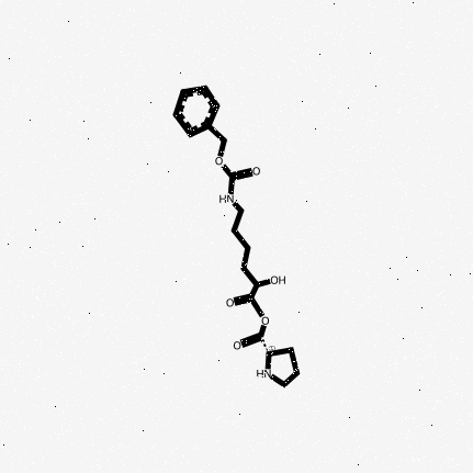 O=C(NCCCCC(O)C(=O)OC(=O)[C@@H]1CCCN1)OCc1ccccc1